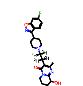 [2H]C([2H])(c1c(C)nc2n(c1=O)CCCC2O)C([2H])([2H])N1CCC(c2noc3cc(F)ccc23)CC1